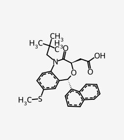 CSc1ccc2c(c1)[C@@H](c1cccc3ccccc13)O[C@H](CC(=O)O)C(=O)N2CC(C)(C)C